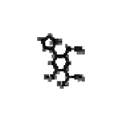 COc1cc(C(C)C)c(N)cc1C1=CSCN1